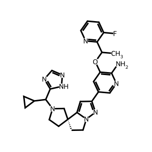 CC(Oc1cc(-c2cc3n(n2)CC[C@@]32CCN(C(c3ncn[nH]3)C3CC3)C2)cnc1N)c1ncccc1F